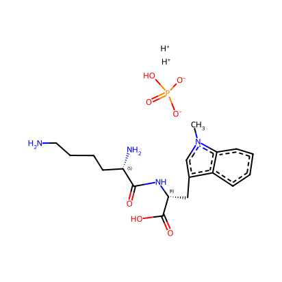 Cn1cc(C[C@@H](NC(=O)[C@@H](N)CCCCN)C(=O)O)c2ccccc21.O=P([O-])([O-])O.[H+].[H+]